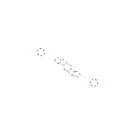 CCCCCCc1ccc(CC(O)c2cc3sc4cc5c(cc4c3s2)sc2cc(C(O)Cc3ccc(CCCCCC)cc3)sc25)cc1